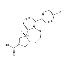 O=C(O)N1CC2CCOc3c(-c4ccc(F)cc4)cccc3[C@H]2C1